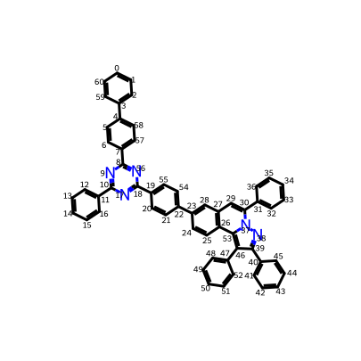 c1ccc(-c2ccc(-c3nc(-c4ccccc4)nc(-c4ccc(-c5ccc6c(c5)cc(-c5ccccc5)n5nc(-c7ccccc7)c(-c7ccccc7)c65)cc4)n3)cc2)cc1